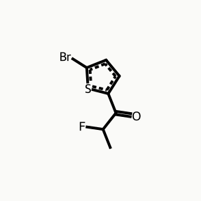 CC(F)C(=O)c1ccc(Br)s1